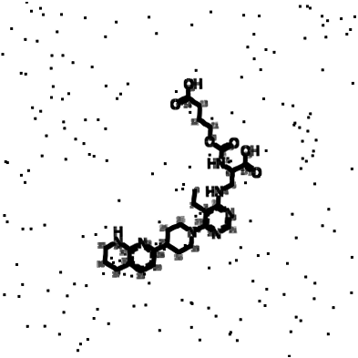 CCc1c(NCC(NC(=O)OCCCC(=O)O)C(=O)O)ncnc1N1CCC(c2ccc3c(n2)NCCC3)CC1